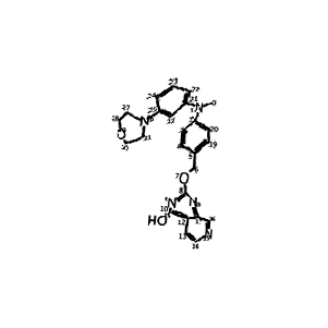 CN(c1ccc(COc2nc(O)c3ccncc3n2)cc1)c1cccc(N2CCOCC2)c1